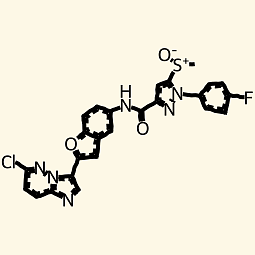 C[S+]([O-])c1cc(C(=O)Nc2ccc3oc(-c4cnc5ccc(Cl)nn45)cc3c2)nn1-c1ccc(F)cc1